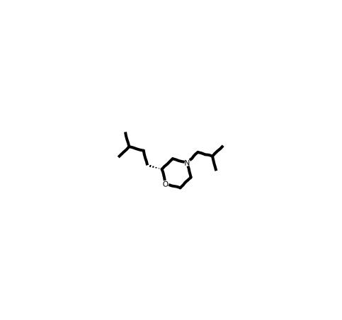 CC(C)CC[C@@H]1CN(CC(C)C)CCO1